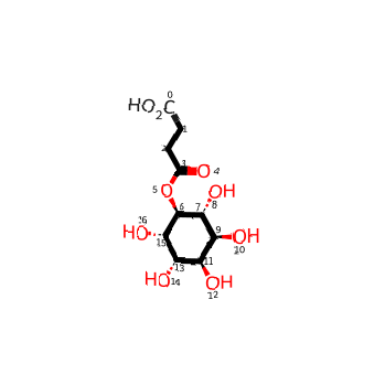 O=C(O)CCC(=O)O[C@H]1[C@H](O)[C@@H](O)[C@@H](O)[C@H](O)[C@@H]1O